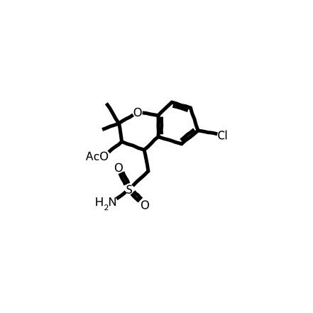 CC(=O)OC1C(CS(N)(=O)=O)c2cc(Cl)ccc2OC1(C)C